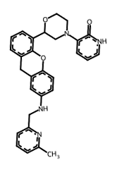 Cc1cccc(CNc2ccc3c(c2)Cc2cccc(C4CN(c5ccc[nH]c5=O)CCO4)c2O3)n1